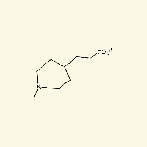 CN1CCC(CCC(=O)O)CC1